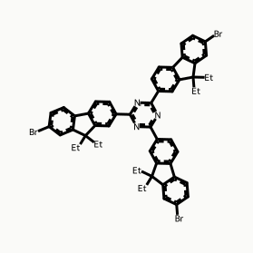 CCC1(CC)c2cc(Br)ccc2-c2ccc(-c3nc(-c4ccc5c(c4)C(CC)(CC)c4cc(Br)ccc4-5)nc(-c4ccc5c(c4)C(CC)(CC)c4cc(Br)ccc4-5)n3)cc21